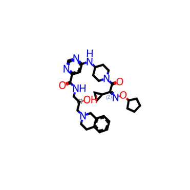 O=C(NC[C@H](O)CN1CCc2ccccc2C1)c1cc(NC2CCN(C(=O)/C(=N\OC3CCCC3)C3CC3)CC2)ncn1